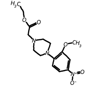 CCOC(=O)CN1CCN(c2ccc([N+](=O)[O-])cc2OC)CC1